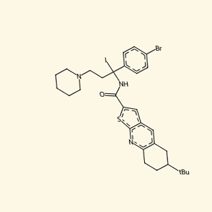 CC(C)(C)C1CCc2nc3sc(C(=O)NC(I)(CCN4CCCCC4)c4ccc(Br)cc4)cc3cc2C1